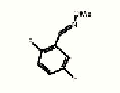 CON=Cc1[c]c(F)ccc1F